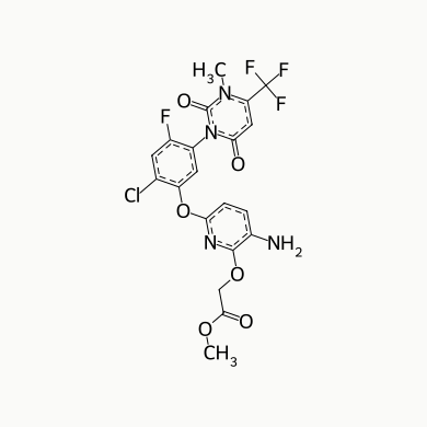 COC(=O)COc1nc(Oc2cc(-n3c(=O)cc(C(F)(F)F)n(C)c3=O)c(F)cc2Cl)ccc1N